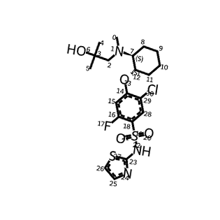 CN(CC(C)(C)O)[C@H]1CCCC[C@@H]1Oc1cc(F)c(S(=O)(=O)Nc2nccs2)cc1Cl